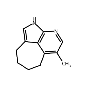 Cc1cnc2[nH]cc3c2c1CCCC3